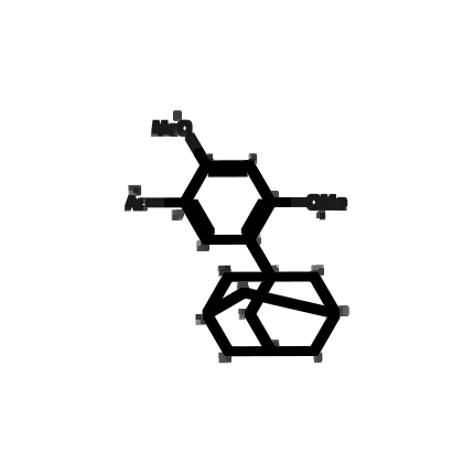 COc1cc(OC)c(C23CC4CC(CC(C4)C2)C3)cc1C(C)=O